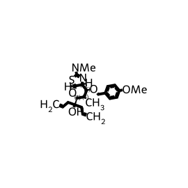 C=CCC(O)(CC=C)[C@H]1O[C@@H]2SC(NC)=N[C@@H]2[C@@H](OCc2ccc(OC)cc2)[C@@H]1C